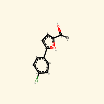 CCC(=O)c1ccc(-c2ccc(Cl)cc2)o1